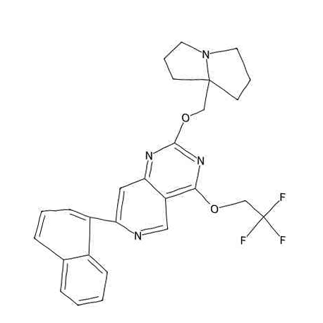 FC(F)(F)COc1nc(OCC23CCCN2CCC3)nc2cc(-c3cccc4ccccc34)ncc12